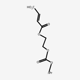 CCCOC(=O)OCCOC(=O)/C=C/C(=O)O